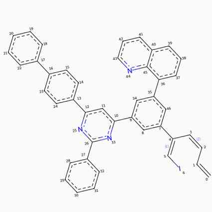 C=C/C=C\C(=C/I)c1cc(-c2cc(-c3ccc(-c4ccccc4)cc3)nc(-c3ccccc3)n2)cc(-c2cccc3cccnc23)c1